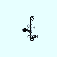 O=C(CCCCC1CCSS1)NCCN(CCNC(=O)c1ccccc1O)CCN1CCOCC1